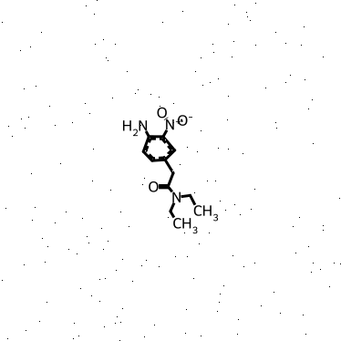 CCN(CC)C(=O)Cc1ccc(N)c([N+](=O)[O-])c1